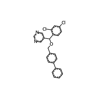 Clc1ccc(C(OCc2ccc(-c3ccccc3)cc2)c2cncnc2)c(Cl)c1